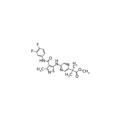 COC(=O)C(C)(C)c1cnc(Nc2snc(C)c2C(=O)Nc2ccc(F)c(F)c2)cn1